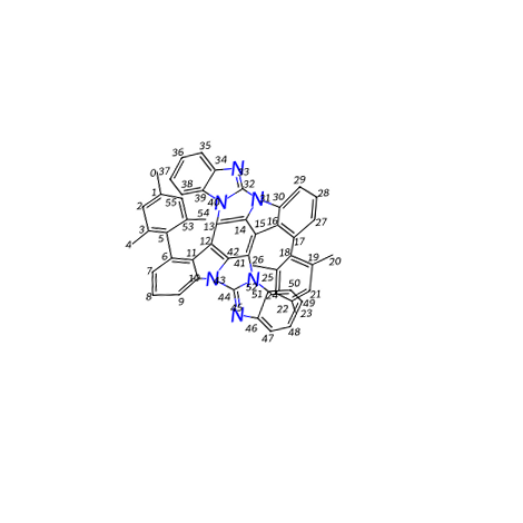 Cc1cc(C)c(-c2cccc3c2c2c4c5c(c6c(-c7c(C)cc(C)cc7C)cccc6n5c5nc6ccccc6n45)c4c2n3c2nc3ccccc3n42)c(C)c1